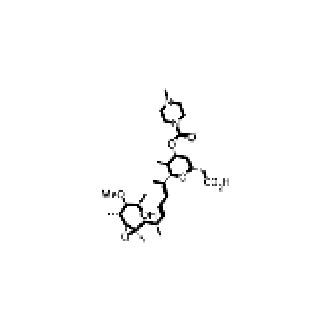 CO[C@H]([C@@H](C)[C@H]1O[C@]1(C)C[C@H](C)/C=C/C=C(\C)[C@H]1O[C@@H](CC(=O)O)C[C@@H](OC(=O)N2CCN(C)CC2)[C@@H]1C)[C@@H](C)O